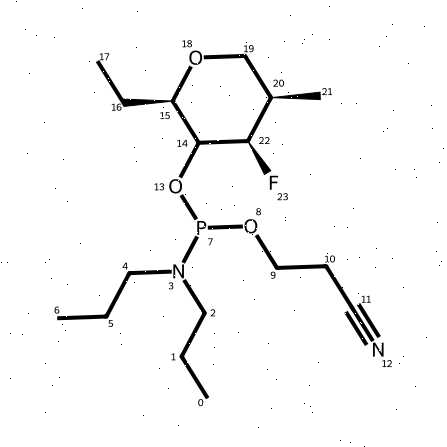 CCCN(CCC)P(OCCC#N)OC1[C@@H](CC)OC[C@@H](C)[C@H]1F